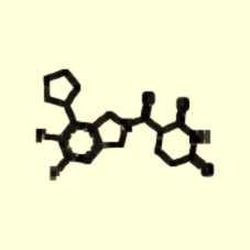 O=C1CCC(C(=O)N2Cc3cc(F)c(F)c(C4CCCC4)c3C2)C(=O)N1